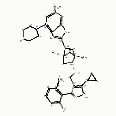 Cc1cccc(Cl)c1-c1noc(C2CC2)c1CO[C@@H]1C[C@@H]2C[C@H]1CN2c1nc2c(C3CCOCC3)cc(C(=O)O)cc2s1